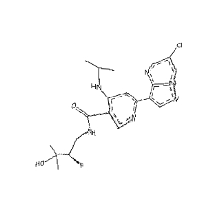 CC(C)Nc1cc(-c2cnn3cc(Cl)cnc23)ncc1C(=O)NC[C@@H](F)C(C)(C)O